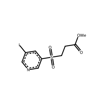 COC(=O)CCS(=O)(=O)c1cncc(I)c1